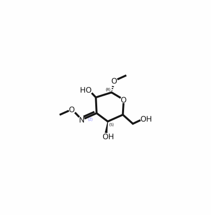 CO/N=C1\C(O)[C@H](OC)OC(CO)[C@H]1O